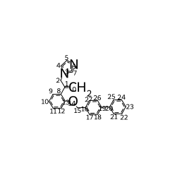 C=C(Cn1ccnc1)c1ccccc1OCc1ccc(-c2ccccc2)cc1